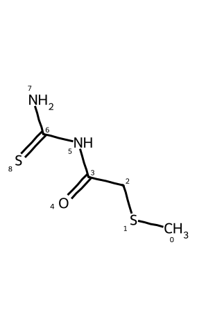 CSCC(=O)NC(N)=S